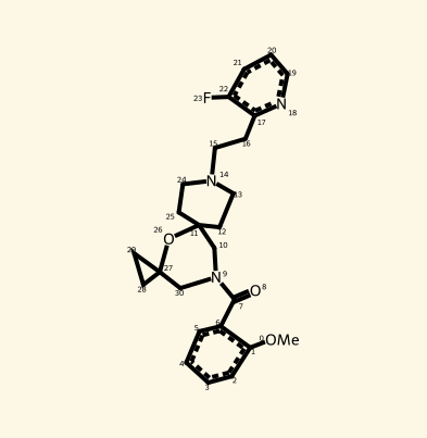 COc1ccccc1C(=O)N1CC2(CCN(CCc3ncccc3F)CC2)OC2(CC2)C1